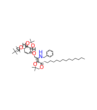 CCCCCCCCCCCCCC[C@@H]1OCC(C)(C)O[C@@H]1[C@@H](CO[C@H]1C=CC(O[Si](C)(C)C(C)(C)C)[C@@H]2OC(C)(C)O[C@@H]12)NCc1ccccc1